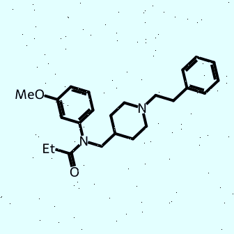 CCC(=O)N(CC1CCN(CCc2ccccc2)CC1)c1cccc(OC)c1